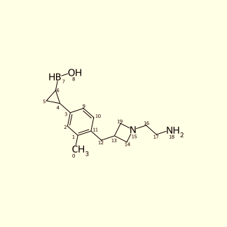 Cc1cc(C2CC2BO)ccc1CC1CN(CCN)C1